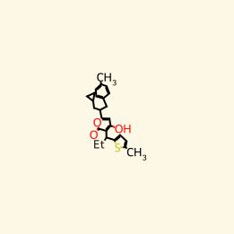 CCC(c1ccc(C)s1)c1c(O)cc(C(Cc2ccc(C)cc2)CC2CC2)oc1=O